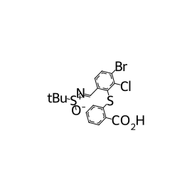 CC(C)(C)[S+]([O-])/N=C/c1ccc(Br)c(Cl)c1Sc1ccccc1C(=O)O